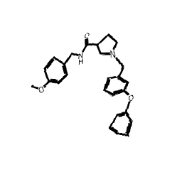 COc1ccc(CNC(=O)C2CCN(Cc3cccc(Oc4ccccc4)c3)C2)cc1